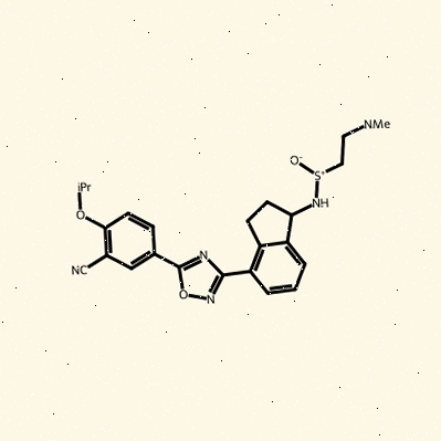 CNCC[S+]([O-])NC1CCc2c(-c3noc(-c4ccc(OC(C)C)c(C#N)c4)n3)cccc21